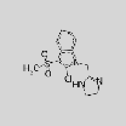 CS(=O)(=O)c1c(Cl)n(CC2=NCCN2)c2ccccc12